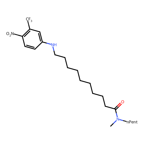 CCCCCN(C)C(=O)CCCCCCCCCNc1ccc([N+](=O)[O-])c(C(F)(F)F)c1